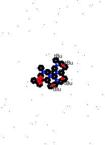 CC(C)(C)c1ccc2c(c1)c1cc(C(C)(C)C)ccc1n2-c1ccc2c(c1)N(c1cc(-c3ccccc3)cc(-c3ccccc3)c1)c1cc(-n3c4ccc(C(C)(C)C)cc4c4cc(C(C)(C)C)ccc43)cc3c1B2c1ccc(N(c2ccccc2)c2ccc(-n4c5ccccc5c5ccccc54)cc2)cc1N3c1cc(-c2ccccc2)cc(-c2ccccc2)c1